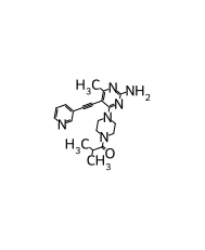 Cc1nc(N)nc(N2CCN(C(=O)C(C)C)CC2)c1C#Cc1cccnc1